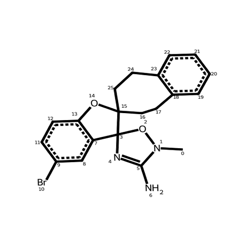 CN1OC2(N=C1N)c1cc(Br)ccc1OC21CCc2ccccc2CC1